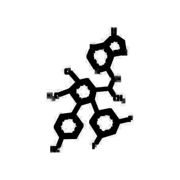 Cc1c(Cl)cc(C(C)Nc2ncnc3[nH]cnc23)c(-c2cc(F)cc(F)c2)c1-c1ccc(C#N)cc1